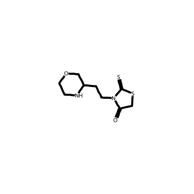 O=C1CSC(=S)N1CCC1COCCN1